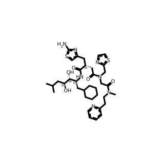 CC(C)C[C@H](O)[C@H](O)[C@H](CC1CCCCC1)NC(=O)[C@@H](CC(=O)N(CC(=O)N(C)CCc1ccccn1)Cc1nccs1)Cc1csc(N)n1